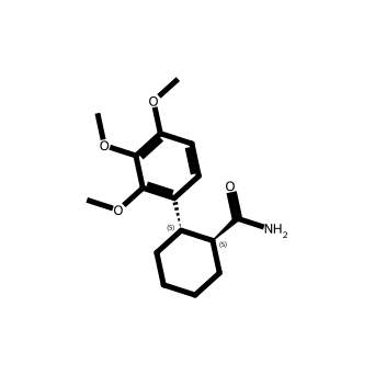 COc1ccc([C@H]2CCCC[C@@H]2C(N)=O)c(OC)c1OC